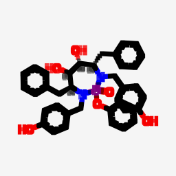 O=P1(Oc2ccccc2)N(Cc2ccc(O)cc2)[C@@H](Cc2ccccc2)[C@@H](O)[C@H](O)[C@H](Cc2ccccc2)N1Cc1ccc(O)cc1